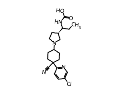 CCC(NC(=O)O)[C@@H]1CCN(C2CCC(C#N)(c3ccc(Cl)cn3)CC2)C1